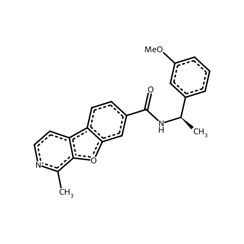 COc1cccc([C@@H](C)NC(=O)c2ccc3c(c2)oc2c(C)nccc23)c1